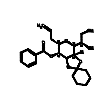 C=CC[C@@H]1O[C@@H]([C@H](O)CO)[C@H]2OC3(CCCCC3)OC2[C@H]1OC(=O)c1ccccc1